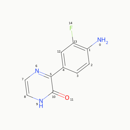 Nc1ccc(-c2ncc[nH]c2=O)cc1F